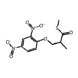 CSC(=O)C(C)COc1ccc([N+](=O)[O-])cc1[N+](=O)[O-]